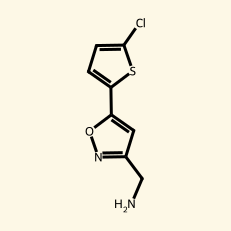 NCc1cc(-c2ccc(Cl)s2)on1